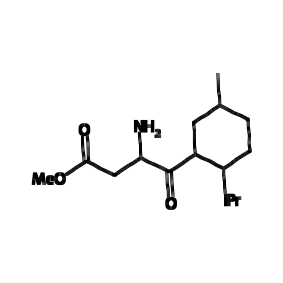 COC(=O)CC(N)C(=O)C1CC(C)CCC1C(C)C